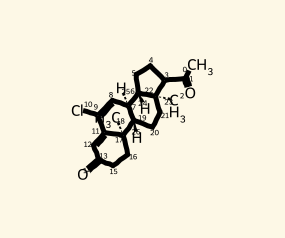 CC(=O)C1CC[C@H]2[C@@H]3C=C(Cl)C4=CC(=O)CC[C@]4(C)[C@H]3CC[C@]12C